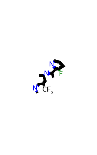 C=C(/C=C(\C=N/C)C(F)(F)F)/N=C(\C)c1ncccc1F